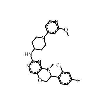 COc1cc(N2CCC(Nc3ncc4c(n3)N(C)C(c3ccc(F)cc3Cl)CO4)CC2)ccn1